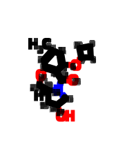 Cc1cc2c(c(OC3CCC3)c1)C(=O)N1C[C@@H](O)C[C@@H]1CO2